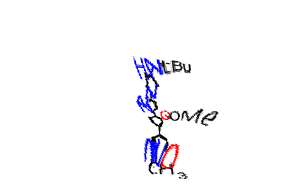 COCOc1cc(-c2cnn(C)c(=O)c2)ccc1-c1ccc(N2CC[C@@H](NC(C)(C)C)C2)nn1